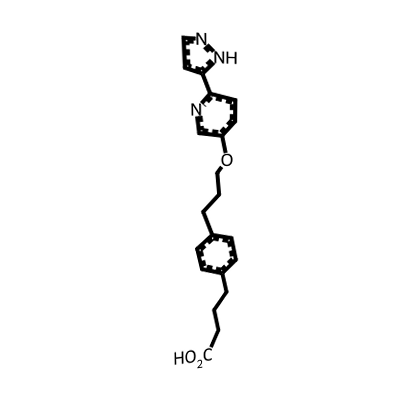 O=C(O)CCCc1ccc(CCCOc2ccc(-c3ccn[nH]3)nc2)cc1